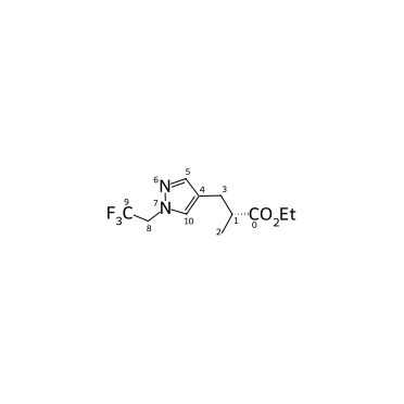 CCOC(=O)[C@H](C)Cc1cnn(CC(F)(F)F)c1